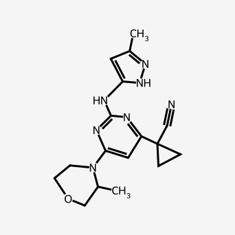 Cc1cc(Nc2nc(N3CCOCC3C)cc(C3(C#N)CC3)n2)[nH]n1